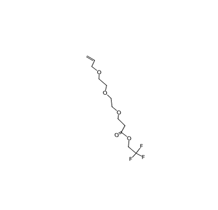 C=CCOCCOCCOCCC(=O)OCC(F)(F)F